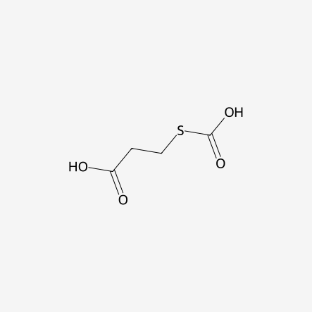 O=C(O)CCSC(=O)O